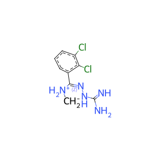 [CH2-][NH2+]/C(=N\NC(=N)N)c1cccc(Cl)c1Cl